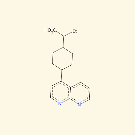 CCC(C(=O)O)C1CCC(c2ccnc3ncccc23)CC1